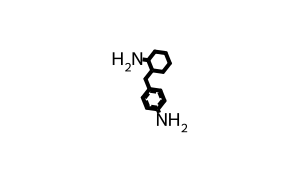 Nc1ccc(CC2CCCCC2N)cc1